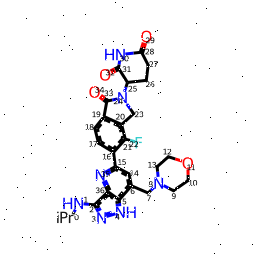 CC(C)Nc1n[nH]c2c(CN3CCOCC3)cc(-c3ccc4c(c3F)CN(C3CCC(=O)NC3=O)C4=O)nc12